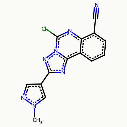 Cn1cc(-c2nc3c4cccc(C#N)c4nc(Cl)n3n2)cn1